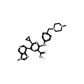 CN1CCN(Cc2ccc(Nc3nc(C4CC4)c(-c4cncc5c4ncn5C)nc3C(N)=O)cc2)CC1